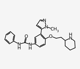 Cn1nccc1-c1cc(NC(=O)Nc2ccccc2)ccc1OCCC1CCCCN1